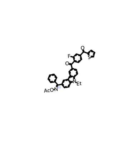 CCn1c2ccc(C(=O)c3ccc(C(=O)c4cccs4)cc3F)cc2c2cc(/C(=N/OC(C)=O)c3ccccc3)ccc21